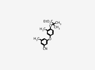 CCOC(=O)C(C)(C)Oc1ccc(Oc2cc(C)cc(C#N)c2)cc1C